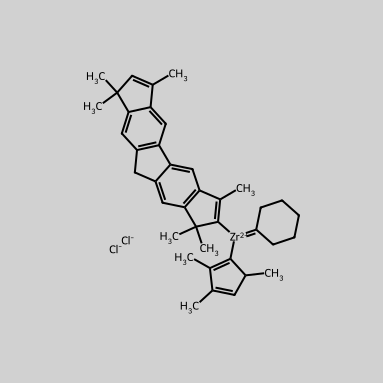 CC1=CC(C)[C]([Zr+2]([C]2=C(C)c3cc4c(cc3C2(C)C)Cc2cc3c(cc2-4)C(C)=CC3(C)C)=[C]2CCCCC2)=C1C.[Cl-].[Cl-]